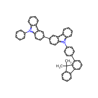 CC1(C)c2ccccc2-c2cccc(-c3ccc(-n4c5ccccc5c5cc(-c6ccc7c(c6)c6ccccc6n7-c6ccccc6)ccc54)cc3)c21